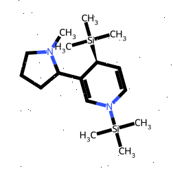 CN1CCCC1C1=CN([Si](C)(C)C)C=C[C@@H]1[Si](C)(C)C